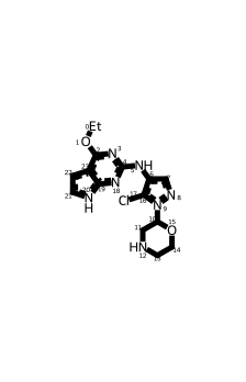 CCOc1nc(Nc2cnn(C3CNCCO3)c2Cl)nc2[nH]ccc12